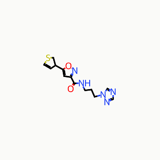 O=C(NCCCn1cncn1)c1cc(C2C=CSC2)on1